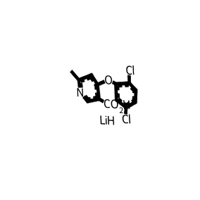 Cc1cc(Oc2cc(Cl)ccc2Cl)c(C(=O)O)cn1.[LiH]